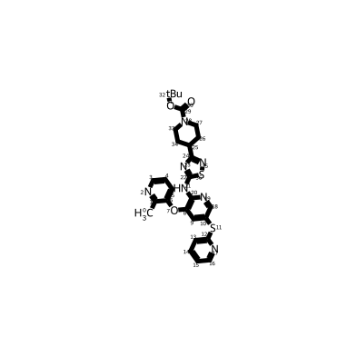 Cc1ncccc1Oc1cc(Sc2ccccn2)cnc1Nc1nc(C2CCN(C(=O)OC(C)(C)C)CC2)ns1